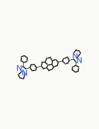 c1ccc(-c2nc3ccccn3c2-c2ccc(-c3cc4ccc5cc(-c6ccc(-c7c(-c8ccccc8)nc8ccccn78)cc6)cc6ccc(c3)c4c56)cc2)cc1